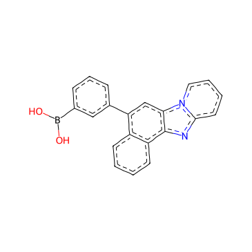 OB(O)c1cccc(-c2cc3c(nc4ccccn43)c3ccccc23)c1